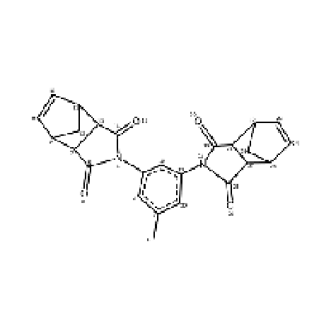 Cc1cc(N2C(=O)C3C4C=CC(C4)C3C2=O)cc(N2C(=O)C3C4C=CC(C4)C3C2=O)c1